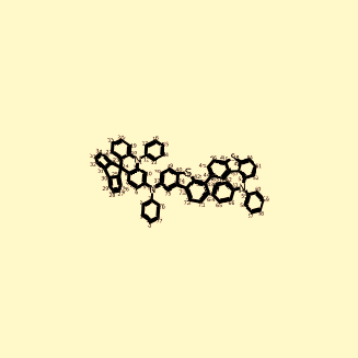 c1ccc(N(c2ccc3c(c2)N(c2ccccc2)c2ccccc2C32c3ccccc3-c3ccccc32)c2ccc3sc4c(-c5ccc6sc7cccc(N(c8ccccc8)c8ccccc8)c7c6c5)cccc4c3c2)cc1